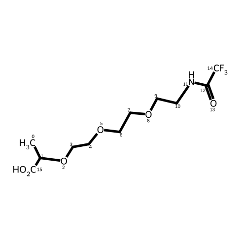 CC(OCCOCCOCCNC(=O)C(F)(F)F)C(=O)O